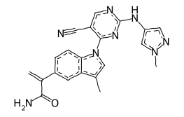 C=C(C(N)=O)c1ccc2c(c1)c(C)cn2-c1nc(Nc2cnn(C)c2)ncc1C#N